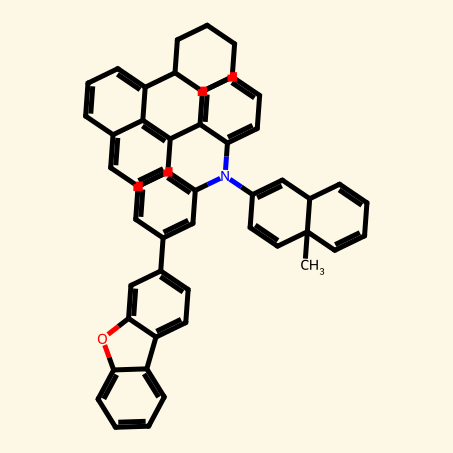 CC12C=CC=CC1C=C(N(c1cccc(-c3ccc4c(c3)oc3ccccc34)c1)c1ccccc1-c1cccc3cccc(C4CCCCC4)c13)C=C2